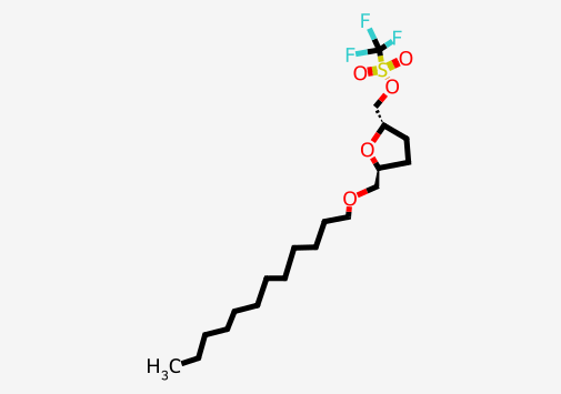 CCCCCCCCCCCCOC[C@@H]1CC[C@@H](COS(=O)(=O)C(F)(F)F)O1